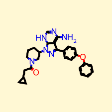 NC1=C2C(c3ccc(Oc4ccccc4)cc3)=NN(C3CCCN(C(=O)CC4CC4)C3)C2NC=N1